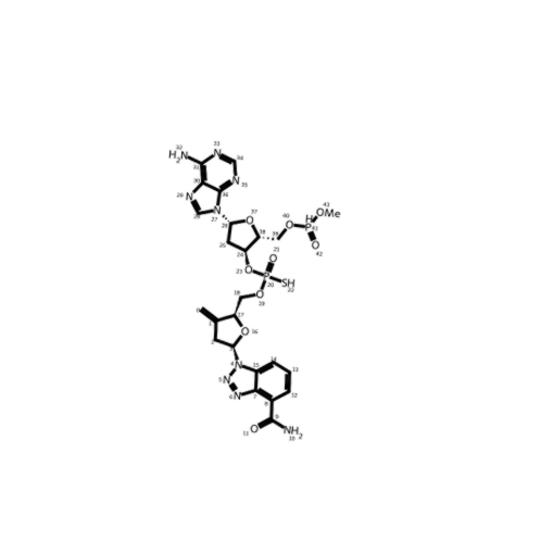 C=C1C[C@H](n2nnc3c(C(N)=O)cccc32)O[C@@H]1COP(=O)(S)O[C@H]1C[C@H](n2cnc3c(N)ncnc32)O[C@@H]1CO[PH](=O)OC